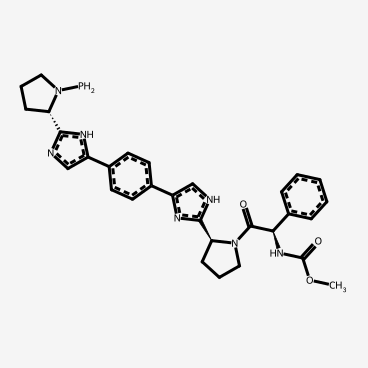 COC(=O)N[C@@H](C(=O)N1CCC[C@H]1c1nc(-c2ccc(-c3cnc([C@@H]4CCCN4P)[nH]3)cc2)c[nH]1)c1ccccc1